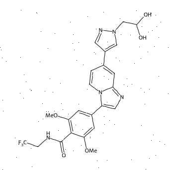 COc1cc(-c2cnc3cc(-c4cnn(CC(O)O)c4)ccn23)cc(OC)c1C(=O)NCC(F)(F)F